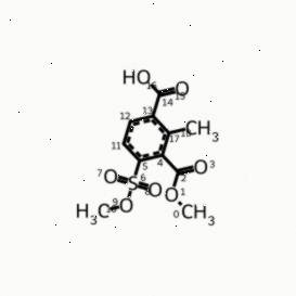 COC(=O)c1c(S(=O)(=O)OC)ccc(C(=O)O)c1C